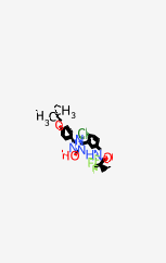 CC(C)COc1ccc(-c2nc(O)nc(-c3cc(CNC(=O)C4(C(F)(F)F)CC4)ccc3Cl)n2)cc1